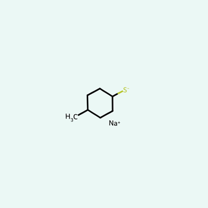 CC1CCC([S-])CC1.[Na+]